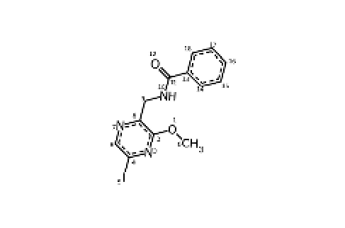 COc1nc(I)cnc1CNC(=O)c1ccccc1